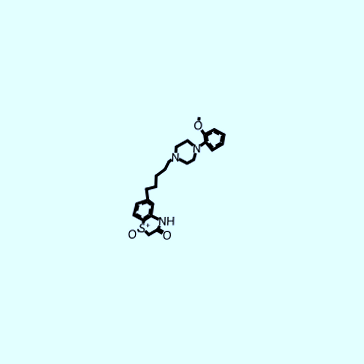 COc1ccccc1N1CCN(CCCCCc2ccc3c(c2)NC(=O)C[S+]3[O-])CC1